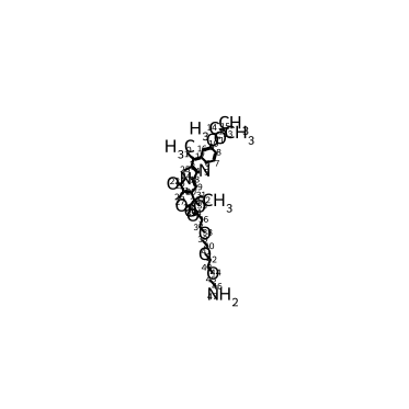 CCc1c2c(nc3ccc(OOC(C)(C)C)cc13)-c1cc3c(c(=O)n1C2)COC(=O)C3(CC)OC(=O)CCOCCOCCOCCN